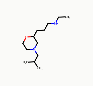 CCNCCCC1CN(CC(C)C)CCO1